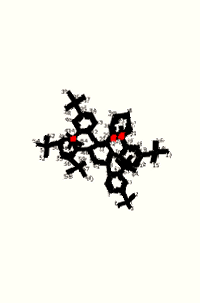 CC(C)(C)c1ccc(C2=C(c3ccc(C(C)(C)C)cc3C(C)(C)C)C(c3ccccc3)=C(c3ccc(C(C)(C)C)cc3C(C)(C)C)C(c3ccc(C(C)(C)C)cc3C(C)(C)C)[C]2)c(C(C)(C)C)c1